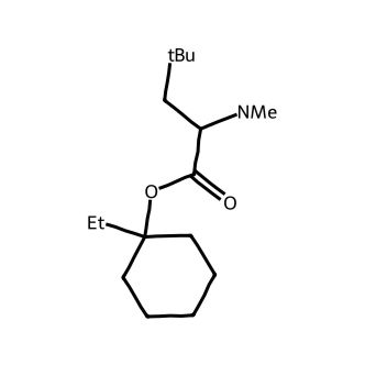 CCC1(OC(=O)C(CC(C)(C)C)NC)CCCCC1